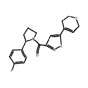 O=C(c1cc(C2=CCOCC2)sn1)N1CCCC1c1ccc(F)cc1